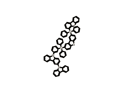 c1ccc([Si](c2ccccc2)(c2cccc(-n3c4ccccc4c4cc(-n5c6ccccc6c6ccccc65)ccc43)c2)c2ccc3sc4ccc([Si](c5ccccc5)(c5ccccc5)c5cccc6c5sc5ccccc56)cc4c3c2)cc1